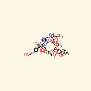 CC[C@H]1OC(=O)[C@H](C)[C@@H](O[C@H]2C[C@@](C)(OC)[C@@H](O)[C@H](C)O2)[C@H](C)[C@@H](O[C@@H]2O[C@H](C)C[C@H](N(C)CCc3cn(C[C@H]4CN(c5ccc(CCCO)cc5)C(=O)O4)nn3)[C@H]2O)[C@](C)(O)C[C@@H](C)CN(C)[C@H](C)[C@@H](O)[C@]1(C)O